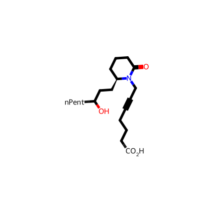 CCCCCC(O)CC[C@H]1CCCC(=O)N1CC#CCCCC(=O)O